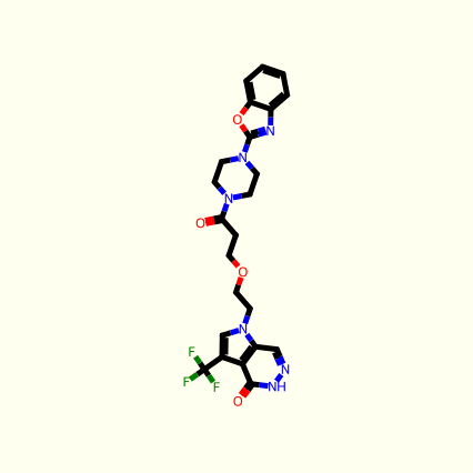 O=C(CCOCCn1cc(C(F)(F)F)c2c(=O)[nH]ncc21)N1CCN(c2nc3ccccc3o2)CC1